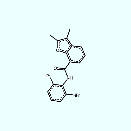 Cc1oc2c(C(=O)Nc3c(C(C)C)cccc3C(C)C)cccc2c1C